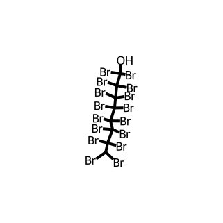 OC(Br)(Br)C(Br)(Br)C(Br)(Br)C(Br)(Br)C(Br)(Br)C(Br)(Br)C(Br)(Br)C(Br)Br